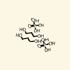 O=P(O)(O)O.O=P(O)(O)O.OCCCO.OCCCO